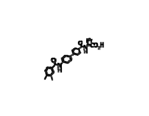 Cc1ccc(C(=O)Nc2ccc(-c3ccc(C(=O)N[C@H](C(=O)O)C(C)C)cc3)cc2)cc1C